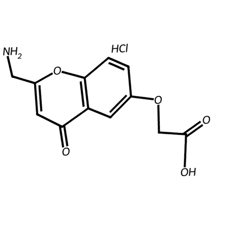 Cl.NCc1cc(=O)c2cc(OCC(=O)O)ccc2o1